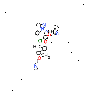 Cc1c(COc2cc(OCc3cncc(C#N)c3)c(CN(C)Cc3nc4ccccc4n3Cc3ccccc3)cc2Cl)cccc1-c1cccc(OCCCN2CCCC2)c1C